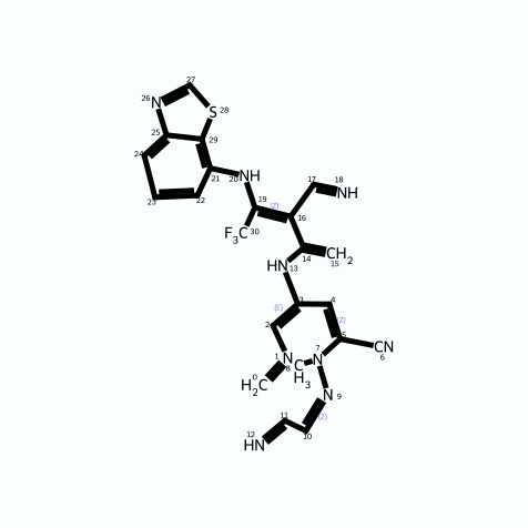 C=N/C=C(\C=C(\C#N)N(C)/N=C\C=N)NC(=C)/C(C=N)=C(/Nc1cccc2ncsc12)C(F)(F)F